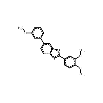 COc1cccc(-c2ccc3nc(-c4ccc(OC)c(OC)c4)oc3c2)c1